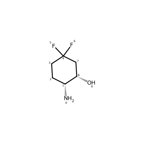 N[C@@H]1CCC(F)(F)C[C@@H]1O